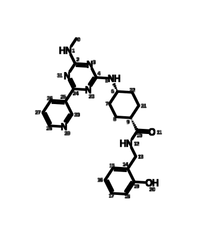 CNc1nc(N[C@H]2CC[C@@H](C(=O)NCc3ccccc3O)CC2)nc(-c2cccnc2)n1